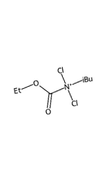 CCOC(=O)[N+](Cl)(Cl)C(C)CC